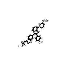 CN[C@@H]1CCCN(c2nccn3c(-c4ccc5c(c4)nnn5CC(C)(C)O)c(-c4ccc(C#N)cc4)nc23)C1